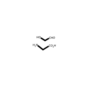 NCC(=O)O.O=CCO